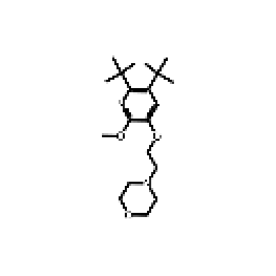 COc1nc(C(C)(C)C)c(C(C)(C)C)cc1OCCN1CCOCC1